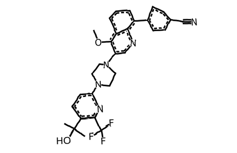 COc1c(N2CCN(c3ccc(C(C)(C)O)c(C(F)(F)F)n3)CC2)cnc2c(-c3ccc(C#N)cc3)cccc12